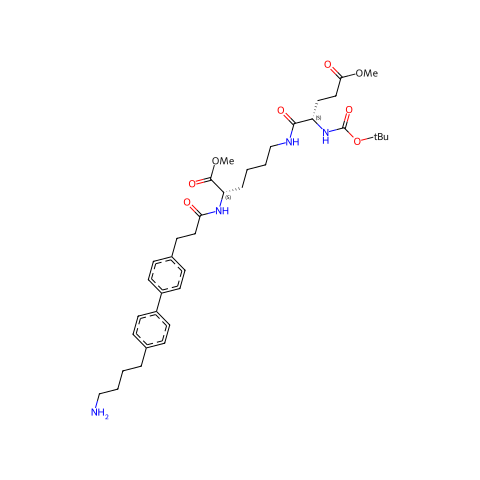 COC(=O)CC[C@H](NC(=O)OC(C)(C)C)C(=O)NCCCC[C@H](NC(=O)CCc1ccc(-c2ccc(CCCCN)cc2)cc1)C(=O)OC